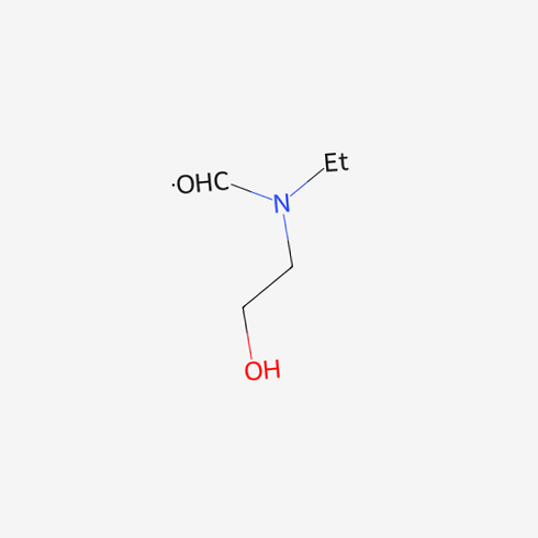 CCN([C]=O)CCO